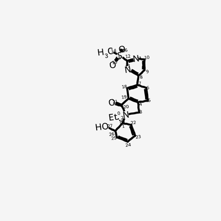 CC[C@]1(N2Cc3ccc(-c4ccnc(S(C)(=O)=O)n4)cc3C2=O)C=CC=CC1O